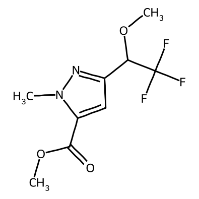 COC(=O)c1cc(C(OC)C(F)(F)F)nn1C